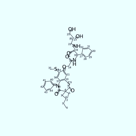 CCCCC1(CC)C(=O)Sc2cc(OCC(=O)NC(C(=O)NC[C@@H](O)CO)c3ccccc3)c(SC)cc2N(c2ccccc2)C1=O